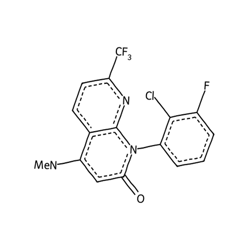 CNc1cc(=O)n(-c2cccc(F)c2Cl)c2nc(C(F)(F)F)ccc12